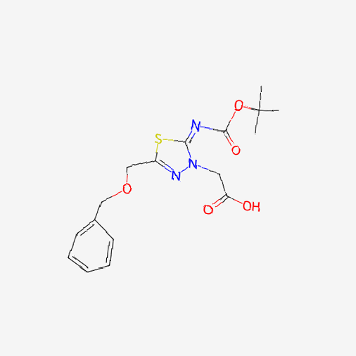 CC(C)(C)OC(=O)/N=c1/sc(COCc2ccccc2)nn1CC(=O)O